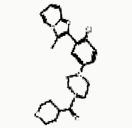 Cc1c(-c2cc(N3CCN(C(=O)C4CCOCC4)CC3)ccc2Cl)nc2ccccn12